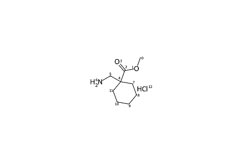 COC(=O)C1(CN)CCCCC1.Cl